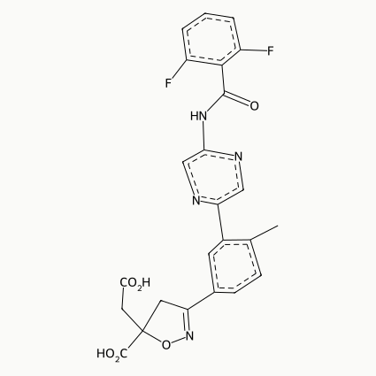 Cc1ccc(C2=NOC(CC(=O)O)(C(=O)O)C2)cc1-c1cnc(NC(=O)c2c(F)cccc2F)cn1